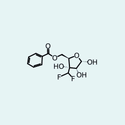 O=C(OC[C@H]1O[C@H](O)[C@H](O)[C@@]1(O)C(F)F)c1ccccc1